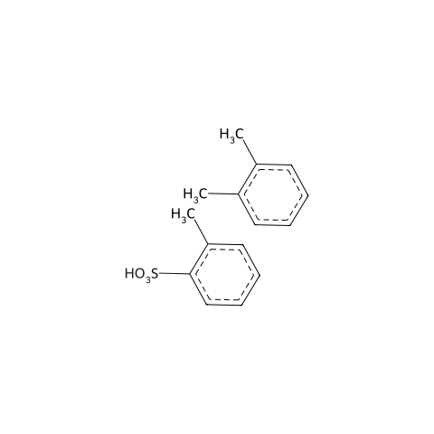 Cc1ccccc1C.Cc1ccccc1S(=O)(=O)O